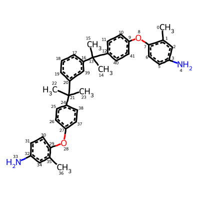 Cc1cc(N)ccc1Oc1ccc(C(C)(C)c2cccc(C(C)(C)c3ccc(Oc4ccc(N)cc4C)cc3)c2)cc1